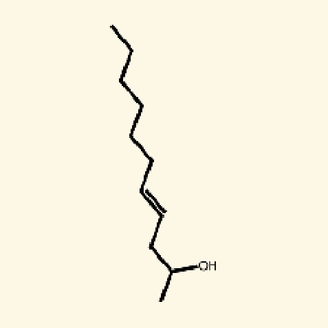 CCCCCCC=CCC(C)O